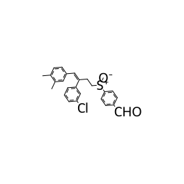 Cc1ccc(/C=C(/CC[S+]([O-])c2ccc(C=O)cc2)c2cccc(Cl)c2)cc1C